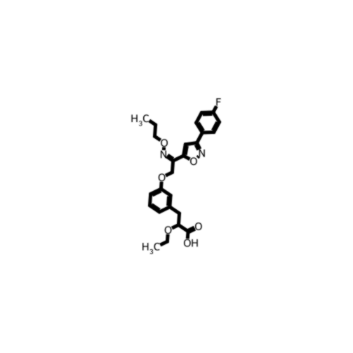 CCCON=C(COc1cccc(CC(OCC)C(=O)O)c1)c1cc(-c2ccc(F)cc2)no1